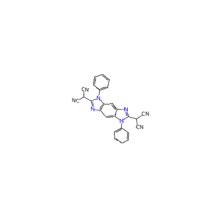 N#CC(C#N)c1nc2cc3c(cc2n1-c1ccccc1)nc(C(C#N)C#N)n3-c1ccccc1